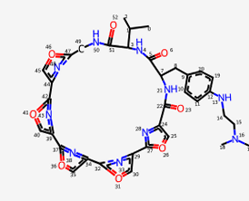 CC(C)C1NC(=O)C(Cc2ccc(NCCN(C)C)cc2)NC(=O)c2coc(n2)-c2coc(n2)-c2coc(n2)-c2coc(n2)-c2coc(n2)CNC1=O